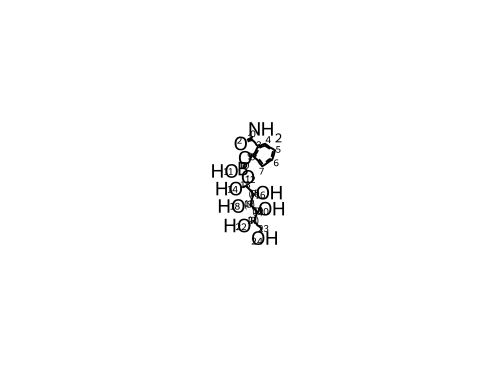 NC(=O)c1ccccc1OB(O)OC(O)[C@H](O)[C@@H](O)[C@H](O)[C@H](O)CO